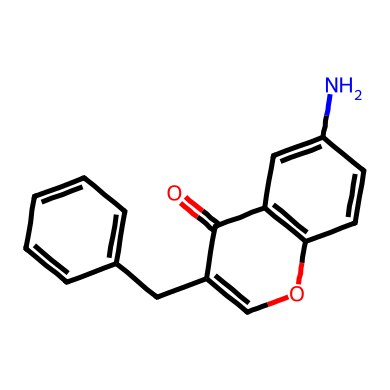 Nc1ccc2occ(Cc3ccccc3)c(=O)c2c1